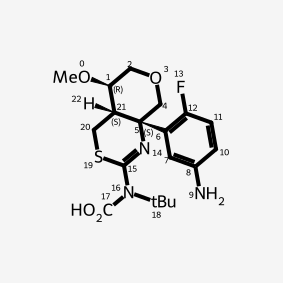 CO[C@H]1COC[C@]2(c3cc(N)ccc3F)N=C(N(C(=O)O)C(C)(C)C)SC[C@H]12